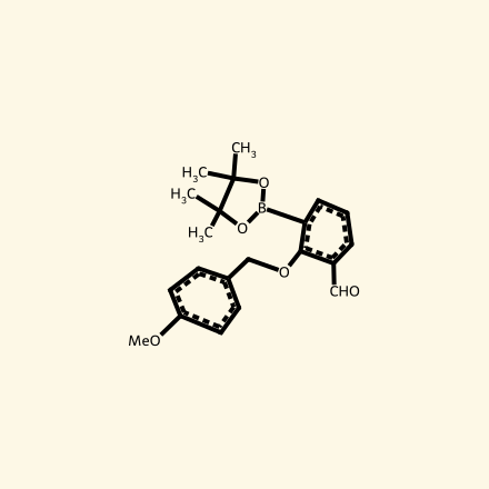 COc1ccc(COc2c(C=O)cccc2B2OC(C)(C)C(C)(C)O2)cc1